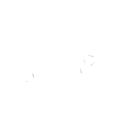 COc1cc(C)c(C(=O)CCCCCCCCC(=O)O)c(OC)c1OC